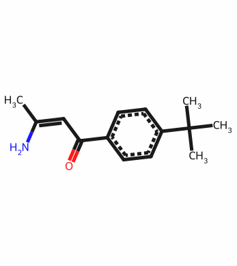 CC(N)=CC(=O)c1ccc(C(C)(C)C)cc1